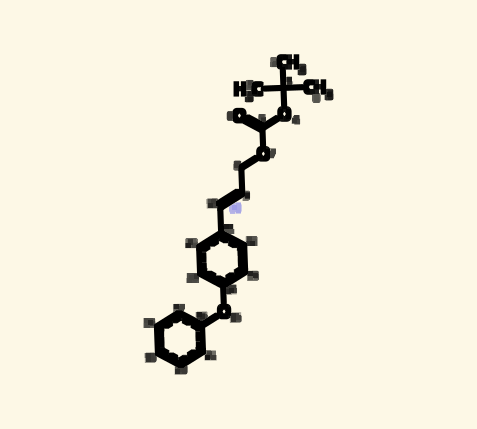 CC(C)(C)OC(=O)OC/C=C/c1ccc(Oc2ccccc2)cc1